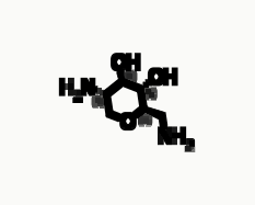 NC[C@H]1OC[C@H](N)[C@@H](O)[C@@H]1O